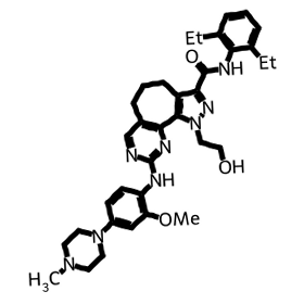 CCc1cccc(CC)c1NC(=O)c1nn(CCO)c2c1CCCc1cnc(Nc3ccc(N4CCN(C)CC4)cc3OC)nc1-2